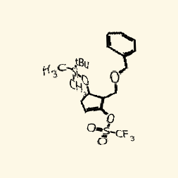 CC(C)(C)[Si](C)(C)OC1CC=C(OS(=O)(=O)C(F)(F)F)C1COCc1ccccc1